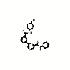 O=C(NC1CCC(O)CC1)c1cccc(-c2cncc(C(=O)Nc3ccccc3)n2)c1